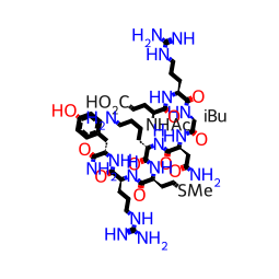 CC[C@H](C)[C@H](NC(=O)[C@H](CCCNC(=N)N)NC(=O)[C@H](CCC(=O)O)NC(C)=O)C(=O)N[C@@H](CC(N)=O)C(=O)N[C@@H](CCCCN)C(=O)N[C@@H](CCSC)C(=O)N[C@@H](CCCNC(=N)N)C(=O)N[C@@H](Cc1ccc(O)cc1)C(N)=O